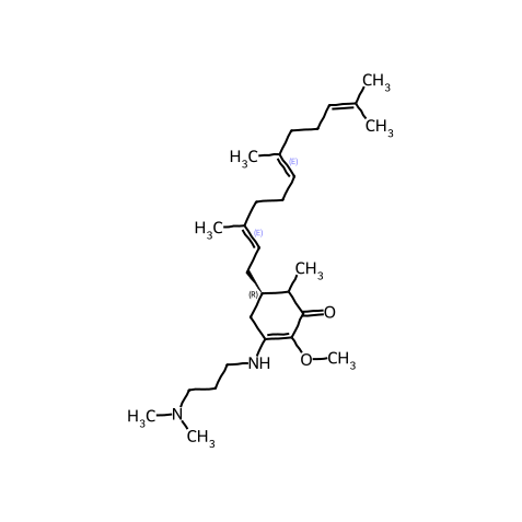 COC1=C(NCCCN(C)C)C[C@@H](C/C=C(\C)CC/C=C(\C)CCC=C(C)C)C(C)C1=O